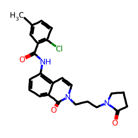 Cc1ccc(Cl)c(C(=O)Nc2cccc3c(=O)n(CCCN4CCCC4=O)ccc23)c1